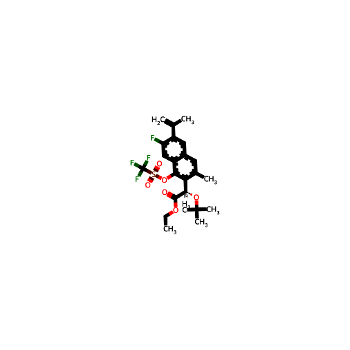 C=C(C)c1cc2cc(C)c([C@H](OC(C)(C)C)C(=O)OCC)c(OS(=O)(=O)C(F)(F)F)c2cc1F